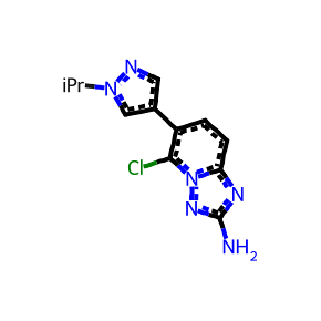 CC(C)n1cc(-c2ccc3nc(N)nn3c2Cl)cn1